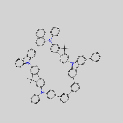 CC1(C)c2cc(N(c3ccccc3)c3ccc(-c4cccc(-c5cccc(-c6ccc7c(c6)c6cc(-c8ccccc8)ccc6n7-c6ccc7c(c6)C(C)(C)c6cc(N(c8ccccc8)c8cccc9ccccc89)ccc6-7)c5)c4)cc3)ccc2-c2ccc(-n3c4ccccc4c4ccccc43)cc21